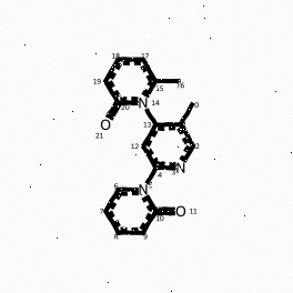 Cc1cnc(-n2ccccc2=O)cc1-n1c(C)cccc1=O